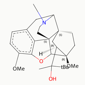 COc1ccc2c3c1OC1[C@@]4(OC)CC[C@@]5(C[C@@H]4C(C)(O)C(C)(C)C)C(C2)N(C)CC[C@]315